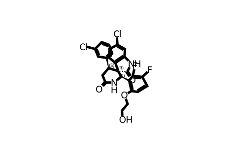 O=C1C[C@@H](c2cccc(Cl)c2)[C@]2(C(=O)Nc3cc(Cl)ccc32)[C@@H](c2c(OCCO)ccc(F)c2F)N1